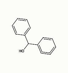 OC(C1=C=C=CC=C1)c1ccccc1